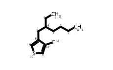 CCCCC(CC)Cc1cscc1F